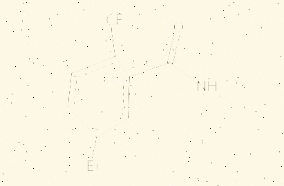 CCc1ccc(C(F)(F)F)c(C(N)=O)c1